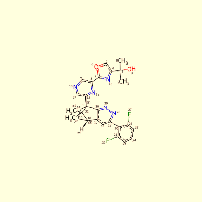 CC(C)(O)c1coc(-c2cncc([C@@]34CC[C@@H](c5cc(-c6c(F)cccc6F)nnc53)C4(C)C)n2)n1